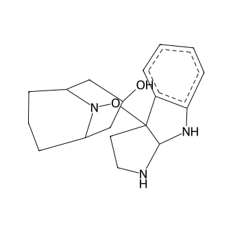 OC1CC2CCCC(C1)N2OC12CCNC1Nc1ccccc12